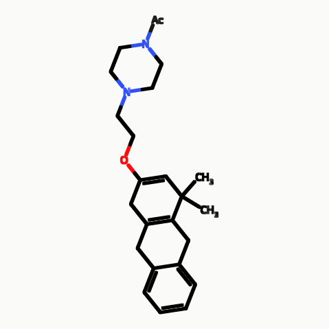 CC(=O)N1CCN(CCOC2=CC(C)(C)C3=C(C2)Cc2ccccc2C3)CC1